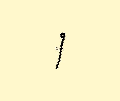 CCCCCCCCCCCCCCCCCCCCc1ccccc1.[NaH]